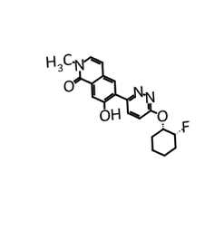 Cn1ccc2cc(-c3ccc(O[C@H]4CCCC[C@H]4F)nn3)c(O)cc2c1=O